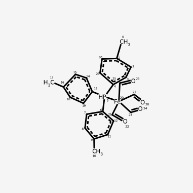 Cc1ccc([PH](c2ccc(C)cc2)(c2ccc(C)cc2)[Fe]([CH]=O)([CH]=O)([CH]=O)[CH]=O)cc1